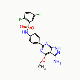 CCOc1nc(-c2ccc(NS(=O)(=O)c3cc(F)ccc3F)cc2)nc2[nH]nc(N)c12